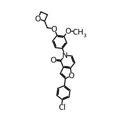 COc1cc(-n2ccc3oc(-c4ccc(Cl)cc4)cc3c2=O)ccc1OCC1CCO1